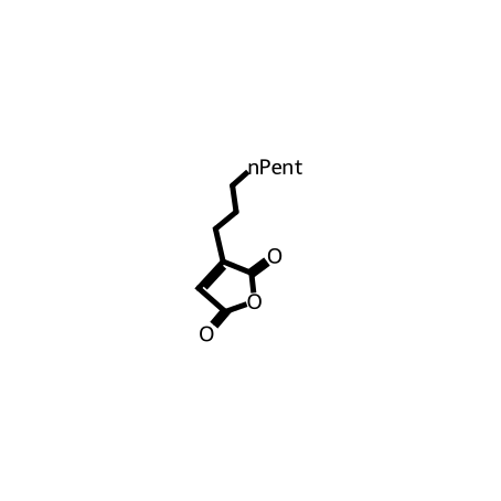 CCCCCCCCC1=CC(=O)OC1=O